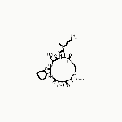 CCCCCC[C@H]1OC[C@H](C)NC(=O)[C@H](CC(=O)N(C)CCCN)NC(=O)[C@H](CN)NC(=O)[C@H](C2CCCCCC2)NC(=O)[C@H](CCC)N(C)C(=O)[C@@H]1C